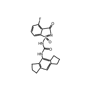 O=C(Nc1c2c(cc3c1CCC3)CCC2)NS1(=O)=NC(=O)c2c(F)cccc21